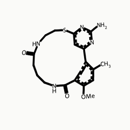 COc1cc(C)c2cc1C(=O)NCCCC(=O)NCCSc1cc-2nc(N)n1